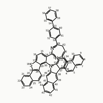 C1=C(c2cccc3ccccc23)N=C(c2ccc3sc4c5ccccc5ccc4c3c2-n2c3ccccc3c3cc4ccccc4cc32)N=C(c2ccc(-c3ccccc3)cc2)C1